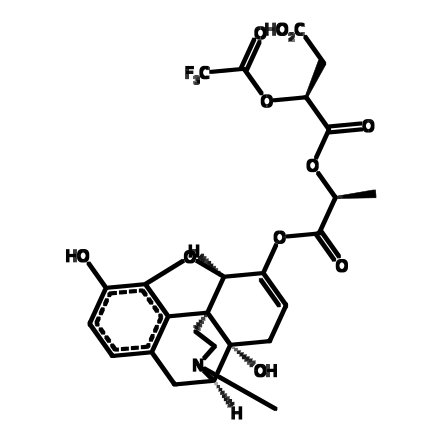 C[C@H](OC(=O)[C@H](CC(=O)O)OC(=O)C(F)(F)F)C(=O)OC1=CC[C@@]2(O)[C@H]3Cc4ccc(O)c5c4[C@@]2(CCN3C)[C@H]1O5